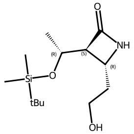 C[C@@H](O[Si](C)(C)C(C)(C)C)[C@H]1C(=O)N[C@@H]1CCO